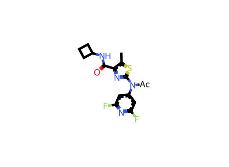 CC(=O)N(c1cc(F)nc(F)c1)c1nc(C(=O)NC2CCC2)c(C)s1